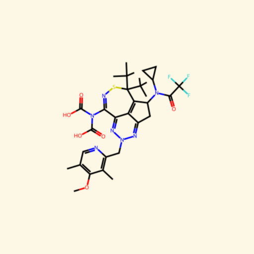 COc1c(C)cnc(CN2N=C3CC(N(C(=O)C(F)(F)F)C4CC4)C4=C3C(=N2)C(N(C(=O)O)C(=O)O)=NSC4(C(C)(C)C)C(C)(C)C)c1C